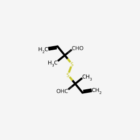 C=CC(C)(C=O)SSC(C)(C=C)C=O